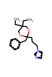 CCC1(CC)COC(CCCn2ccnc2)(Cc2ccccc2)OC1